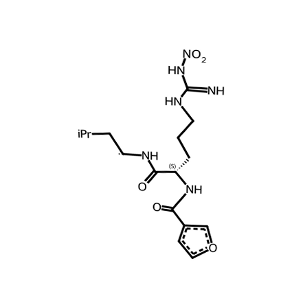 CC(C)C[CH]NC(=O)[C@H](CCCNC(=N)N[N+](=O)[O-])NC(=O)c1ccoc1